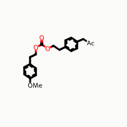 COc1ccc(CCOC(=O)OCCc2ccc(CC(C)=O)cc2)cc1